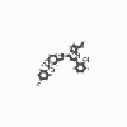 C=Cc1cnn2c(NCC3CCCN(S(=O)(=O)c4ccc(F)cc4)C3)cc(-c3ccccc3O)nc12